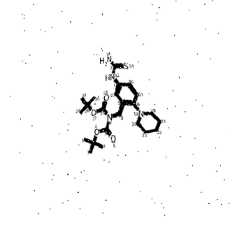 CC(C)(C)OC(=O)N(Cc1cc(NC(N)=S)ccc1N1CCCCC1)C(=O)OC(C)(C)C